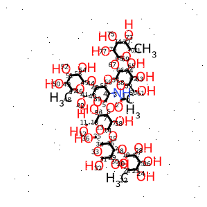 CC(=O)N[C@H]1[C@H](O[C@H]2[C@@H](O)[C@@H](CO)O[C@@H](O[C@H]3[C@H](O[C@@H]4O[C@@H](C)[C@@H](O)[C@@H](O)[C@@H]4O)[C@@H](O)C(O)O[C@@H]3CO)[C@@H]2O)O[C@H](CO)[C@@H](O[C@@H]2O[C@@H](C)[C@@H](O)[C@@H](O)[C@@H]2O)[C@@H]1O[C@@H]1O[C@H](CO)[C@H](O)[C@H](O)[C@H]1O[C@@H]1O[C@@H](C)[C@@H](O)[C@@H](O)[C@@H]1O